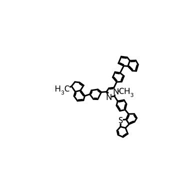 CC1CC=Cc2c(-c3ccc(C4=NC(c5ccc(-c6cccc7c6SC6C=CC=CC76)cc5)N(C)C(c5ccc(-c6cccc7ccccc67)cc5)=C4)cc3)cccc21